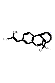 CC(C)=Cc1ccc2c3/c(c(N)nc2c1)=C(\C)CC/C=C\C=3